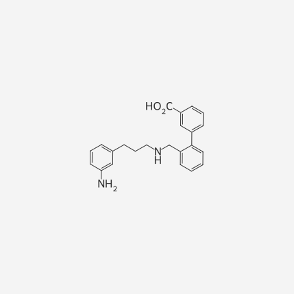 Nc1cccc(CCCNCc2ccccc2-c2cccc(C(=O)O)c2)c1